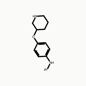 CC(C)Nc1ccc(OC2CCCNC2)cc1